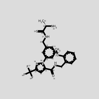 COc1ccccc1CNC(=O)c1cc(C(F)(F)F)nn1-c1cccc(CNC(=S)[C@H](C)N)c1